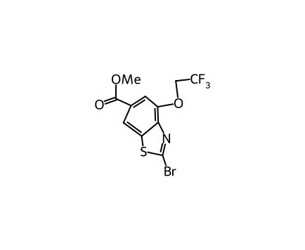 COC(=O)c1cc(OCC(F)(F)F)c2nc(Br)sc2c1